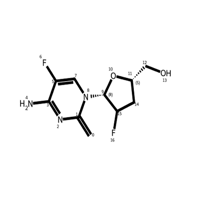 C=C1N=C(N)C(F)=CN1[C@@H]1O[C@H](CO)CC1F